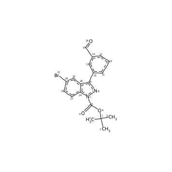 CC(C)(C)OC(=O)n1nc(-c2cccc(C=O)c2)c2cc(Br)ccc21